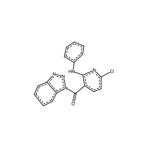 O=C(c1ccc(Cl)nc1Nc1ccccc1)n1nnc2ccccc21